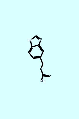 NC(=O)OCc1ccc2[nH]cnc2c1